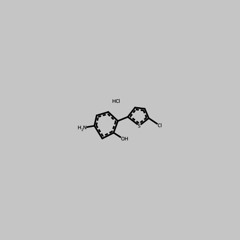 Cl.Nc1ccc(-c2ccc(Cl)s2)c(O)c1